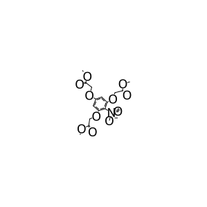 COC(=O)COc1cc(OCC(=O)OC)c([N+](=O)[O-])c(OCC(=O)OC)c1